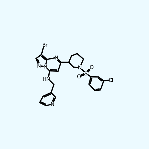 O=S(=O)(c1cccc(Cl)c1)N1CCCC(c2cc(NCc3cccnc3)n3ncc(Br)c3n2)C1